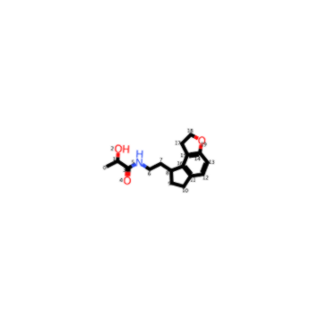 CC(O)C(=O)NCCC1CCc2ccc3c(c21)CCO3